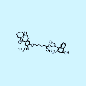 COc1cc2c(cc1OCCCCCC(=O)OC[C@@H](CCl)c1c(C)cc(O)c3ccccc13)N=C[C@@H]1CCCCN1C2=O